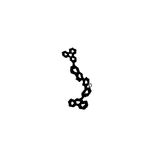 c1ccc2c(c1)cc(-c1ccc3oc4ccc(-c5ccc6ccc(-c7ccc8c9ccccc9c9ccccc9c8c7)cc6c5)cc4c3c1)c1ccccc12